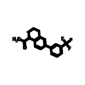 CC(=O)N1[CH]CCc2cc(-c3cccc(C(F)(F)F)c3)ccc21